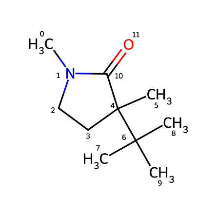 CN1CCC(C)(C(C)(C)C)C1=O